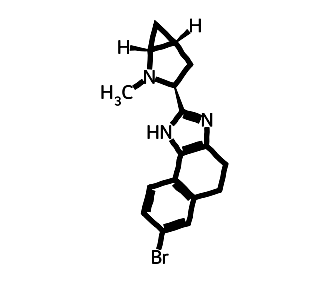 CN1[C@@H]2C[C@@H]2C[C@H]1c1nc2c([nH]1)-c1ccc(Br)cc1CC2